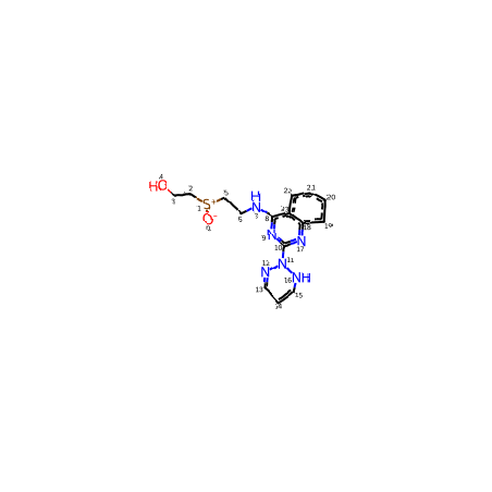 [O-][S+](CCO)CCNc1nc(N2N=CC=CN2)nc2ccccc12